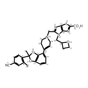 CC1(c2ccc(C#N)cc2F)Oc2cccc(C3=CCN(Cc4nc5sc(C(=O)O)nc5n4CC4CCO4)CC3)c2O1